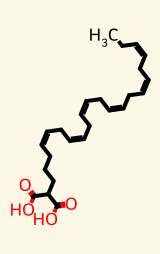 CC/C=C\C/C=C\C/C=C\C/C=C\C/C=C\C/C=C\CCCC(C(=O)O)C(=O)O